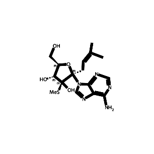 CS[C@@]1(O)[C@H](O)[C@@H](CO)O[C@@]1(CC=C(C)C)n1cnc2c(N)ncnc21